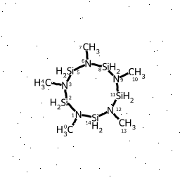 CN1[SiH2]N(C)[SiH2]N(C)[SiH2]N(C)[SiH2]N(C)[SiH2]1